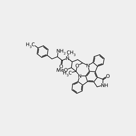 COC1C(N(C)C(=O)C(N)Cc2ccc(C)cc2)CC2OC1(C)n1c3ccccc3c3c4c(c5c6ccccc6n2c5c31)C(=O)NC4